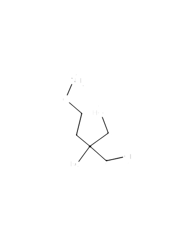 CC(C)(C)C(CO)(CO)CCON